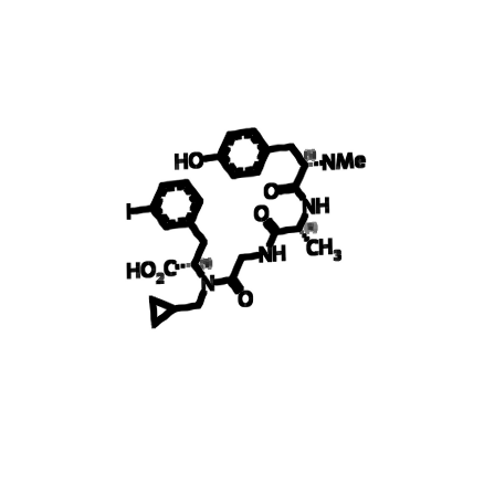 CN[C@@H](Cc1ccc(O)cc1)C(=O)N[C@H](C)C(=O)NCC(=O)N(CC1CC1)[C@@H](Cc1cccc(I)c1)C(=O)O